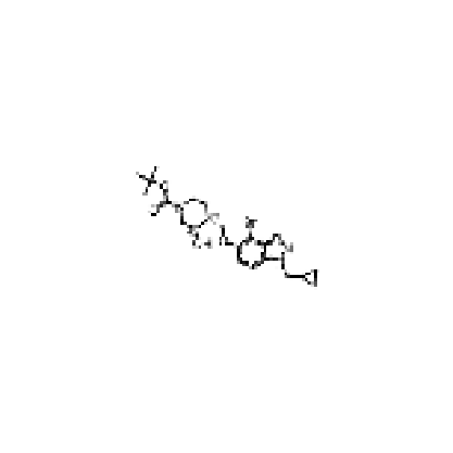 CC(C)(C)OC(=O)N1CC[C@H](COc2ccc3c(nnn3CC3CC3)c2Br)[C@@H](O)C1